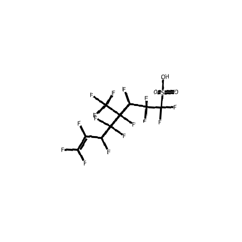 O=S(=O)(O)C(F)(F)C(F)(F)C(F)C(F)(C(F)(F)F)C(F)(F)C(F)C(F)=C(F)F